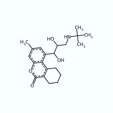 Cc1cc(C(O)C(O)CNC(C)(C)C)c2c3c(c(=O)oc2c1)CCCC3